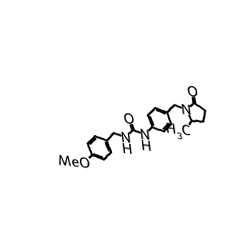 COc1ccc(CNC(=O)Nc2ccc(CN3C(=O)CCC3C)cc2)cc1